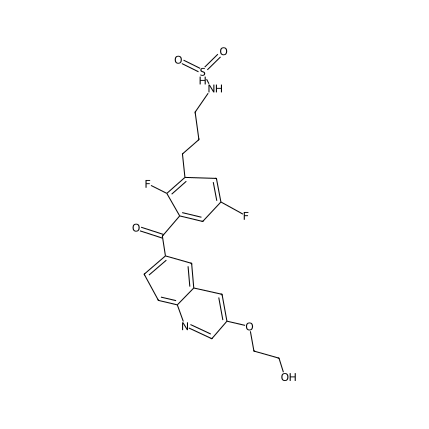 O=C(c1ccc2ncc(OCCO)cc2c1)c1cc(F)cc(CCCN[SH](=O)=O)c1F